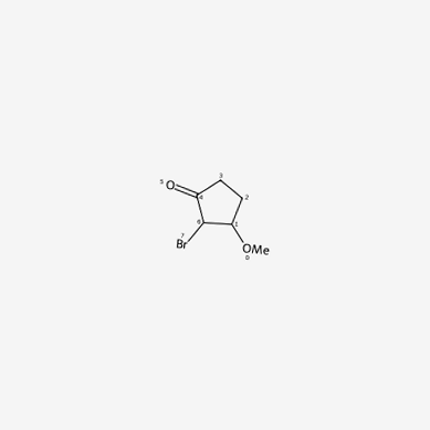 COC1CCC(=O)C1Br